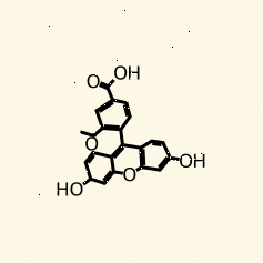 CC(=O)c1cc(C(=O)O)ccc1C1=C2C=CC(O)C=C2Oc2cc(O)ccc21